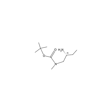 CC[C@@H](N)CN(C)C(=O)OC(C)(C)C